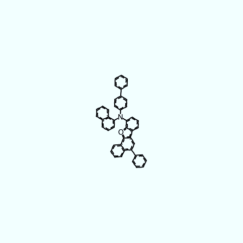 c1ccc(-c2ccc(N(c3cccc4ccccc34)c3cccc4c3oc3c5ccccc5c(-c5ccccc5)cc43)cc2)cc1